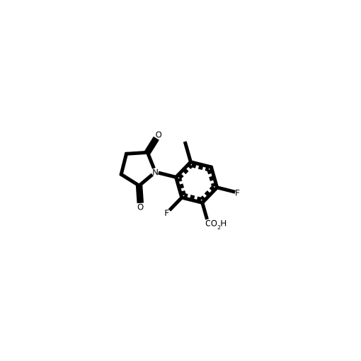 Cc1cc(F)c(C(=O)O)c(F)c1N1C(=O)CCC1=O